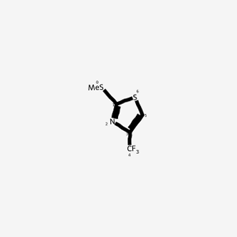 CSc1nc(C(F)(F)F)cs1